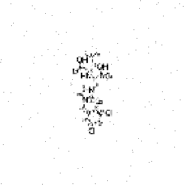 CC(C)C[C@H](NC(Cn1ccn(Cc2cc(Cl)cc(Cl)c2)c1=O)C(=O)O)C(=O)O